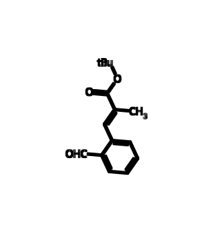 C/C(=C\c1ccccc1C=O)C(=O)OC(C)(C)C